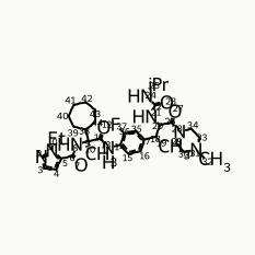 CCn1nccc1C(=O)N[C@@](C)(C(=O)Nc1ccc([C@H](C)[C@@H](NC(=O)NC(C)C)C(=O)N2CCN(C)CC2)cc1F)C1CCCCCC1